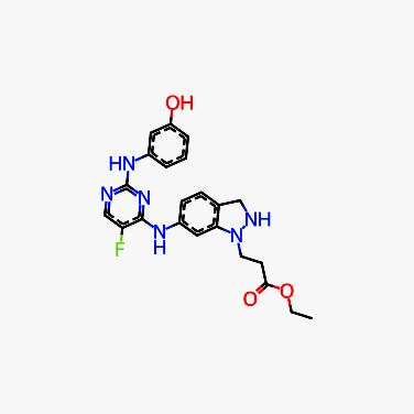 CCOC(=O)CCN1NCc2ccc(Nc3nc(Nc4cccc(O)c4)ncc3F)cc21